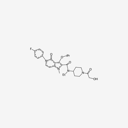 CCN(C(=O)c1c(OC(C)C)c2c(=O)n(-c3ccc(F)cc3)ccc2n1C)C1CCN(C(=O)CO)CC1